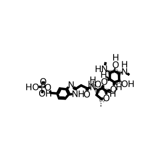 CN[C@@H]1[C@H](O)[C@H](NC)[C@H]2O[C@]3(O)[C@H](O[C@@H]2[C@H]1O)O[C@H](C)C[C@H]3NC(=O)Cc1nc2cc(COP(=O)(O)O)ccc2[nH]1